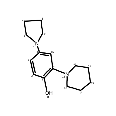 Oc1ccc(N2CCCC2)cc1N1CCCCC1